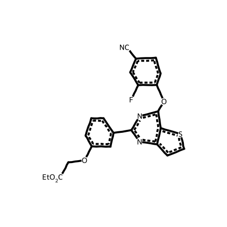 CCOC(=O)COc1cccc(-c2nc(Oc3ccc(C#N)cc3F)c3sccc3n2)c1